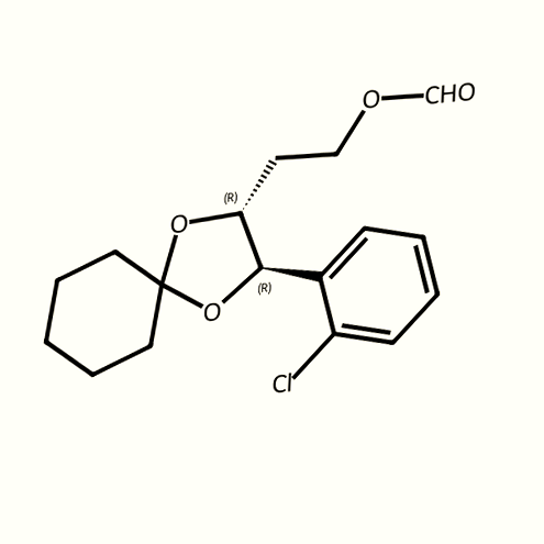 O=COCC[C@H]1OC2(CCCCC2)O[C@@H]1c1ccccc1Cl